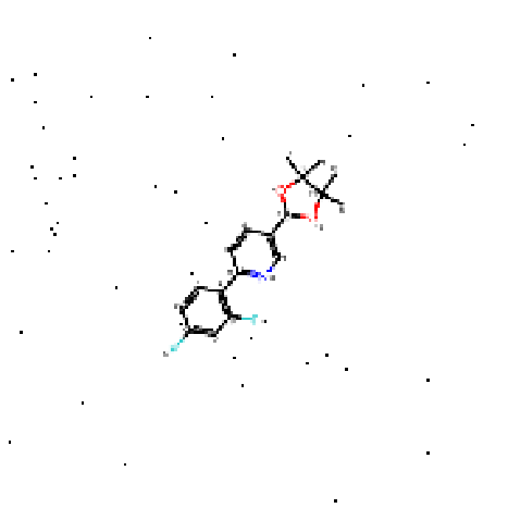 CC1(C)OB(c2ccc(-c3ccc(F)cc3F)nc2)OC1(C)C